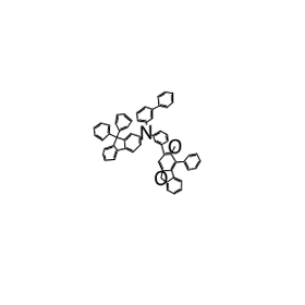 c1ccc(-c2cccc(N(c3ccc4c(c3)C(c3ccccc3)(c3ccccc3)c3ccccc3-4)c3ccc4oc5c(-c6ccccc6)c6c(cc5c4c3)oc3ccccc36)c2)cc1